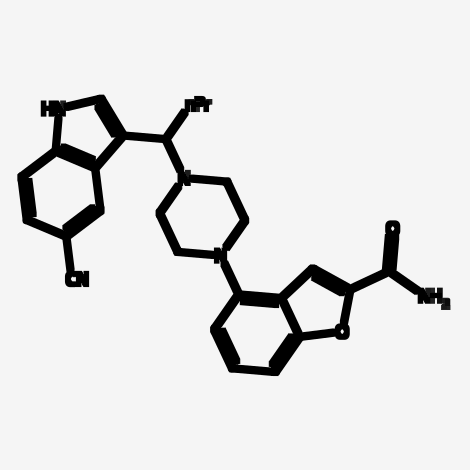 CCCC(c1c[nH]c2ccc(C#N)cc12)N1CCN(c2cccc3oc(C(N)=O)cc23)CC1